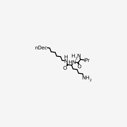 CCCCCCCCCCCCCCCCNC(=O)C(CCCCN)NC(=O)C(N)C(C)C